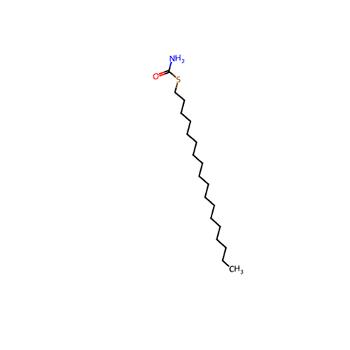 CCCCCCCCCCCCCCCCCCSC(N)=O